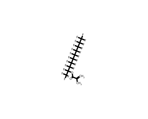 C=C(C)C(=O)OC(F)(C(F)(F)F)C(F)(F)C(F)(F)C(F)(F)C(F)(F)C(F)(F)C(F)(F)C(F)(F)C(F)(F)F